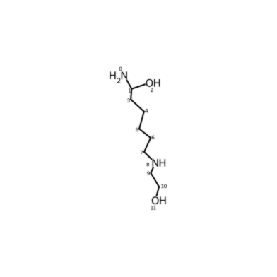 NC(O)CCCCCNCCO